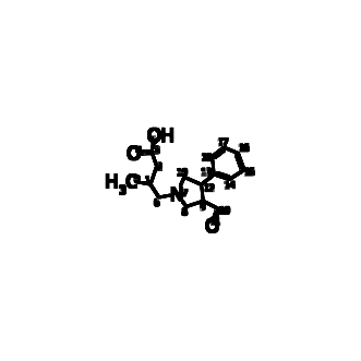 CC(CC(=O)O)CN1CC(C=O)C(c2ccccc2)C1